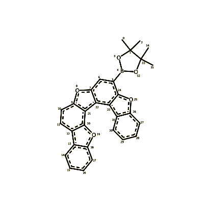 CC1(C)OB(c2cc3oc4ccc5c6ccccc6oc5c4c3c3c2oc2ccccc23)OC1(C)C